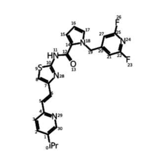 CC(C)c1ccc(C=Cc2csc(NC(=O)c3cccn3Cc3cc(F)nc(F)c3)n2)nc1